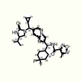 Cc1nonc1C(=O)N[C@H](c1cn2ncc(C(C3CC3)N3CC(C(C)C)NC3=O)cc2n1)C1CCC(F)(F)CC1